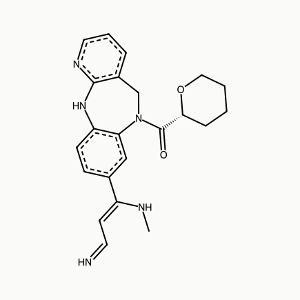 CN/C(=C\C=N)c1ccc2c(c1)N(C(=O)[C@H]1CCCCO1)Cc1cccnc1N2